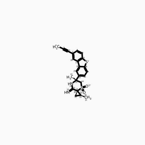 CC#Cc1ccc2sc3ccc([C@]4(C)CS(=O)(=O)[C@@]5(C[C@@H]5C)C(=N)N4)cc3c2c1